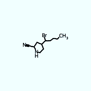 CCCCC(Br)C1CCNC(C#N)C1